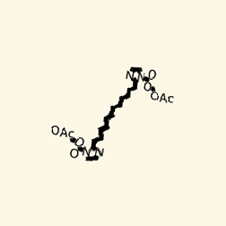 CC(=O)OCOC(=O)N1CC=NC1CCCCCCCCCCCCC1N=CCN1C(=O)OCOC(C)=O